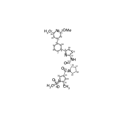 COc1cc(-c2cccc(-c3csc(NC(=O)[C@@H]4CCCN4C(=O)c4cc(C)n(S(C)(=O)=O)c4)n3)c2)cc(C)n1